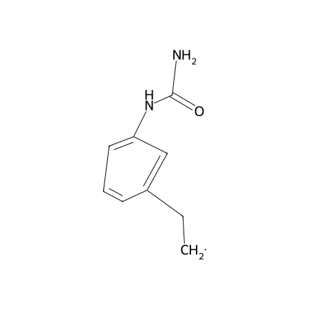 [CH2]Cc1cccc(NC(N)=O)c1